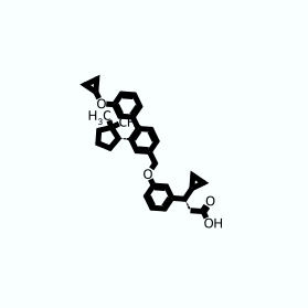 CC1(C)CCC[C@H]1c1cc(COc2cccc([C@@H](CC(=O)O)C3CC3)c2)ccc1-c1cccc(OC2CC2)c1